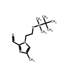 Cc1cn(CCO[Si](C)(C)C(C)(C)C)c(C=O)n1